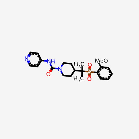 COc1ccccc1S(=O)(=O)C(C)(C)C1CCN(C(=O)Nc2ccncc2)CC1